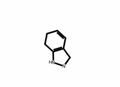 C1=CC2=C(CC1)N[N]C2